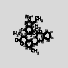 CCn1nnc2c(F)c([C@H](c3ccc(C)c(CN4Cc5ccccc5OC(C)(C)C4)c3)[C@@H](C)C(=O)[O-])ccc21.[Na+]